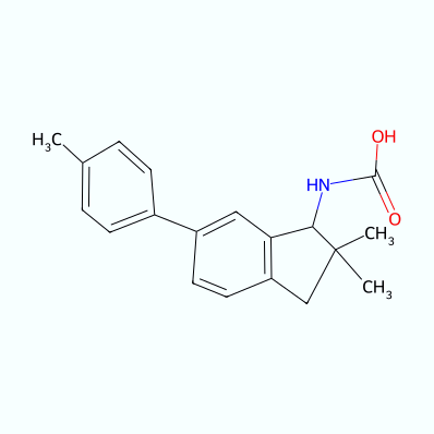 Cc1ccc(-c2ccc3c(c2)C(NC(=O)O)C(C)(C)C3)cc1